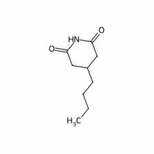 CCCCC1CC(=O)NC(=O)C1